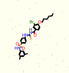 CCCCCCOc1ccc(C(=O)NC(=S)Nc2ccc(S(=O)(=O)Nc3cc(C)cc(C)c3)cc2)cc1Br